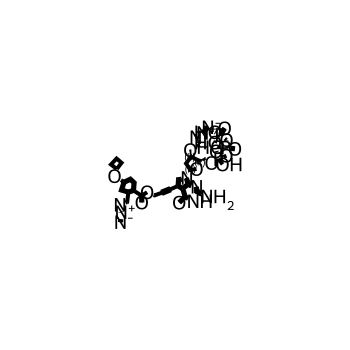 [N-]=[N+]=NCO[C@@H]1C[C@H](n2cc(C#CCOC(=O)c3ccc(OC4CCC4)cc3CN=[N+]=[N-])c3c(=O)[nH]c(N)nc32)O[C@@H]1COP(=O)(O)OP(=O)(O)OP(=O)(O)O